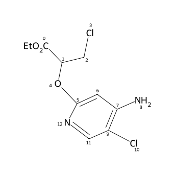 CCOC(=O)C(CCl)Oc1cc(N)c(Cl)cn1